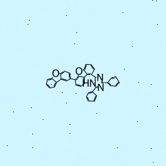 c1ccc(C2=NC(c3cccc4oc5c(-c6ccc7oc8ccccc8c7c6)cccc5c34)NC(c3ccccc3)=N2)cc1